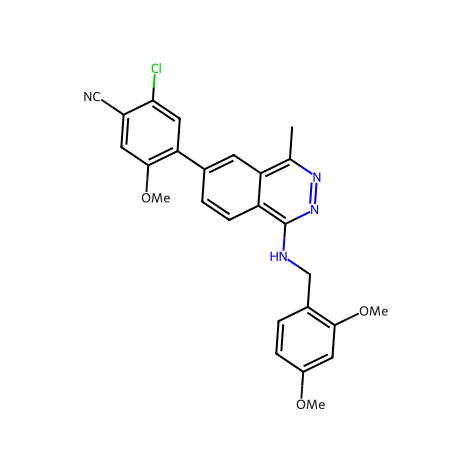 COc1ccc(CNc2nnc(C)c3cc(-c4cc(Cl)c(C#N)cc4OC)ccc23)c(OC)c1